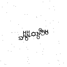 O=C1CCC(N2Cc3ccc(CNC(=O)Nc4ccsc4)cc3C2=O)C(=O)N1